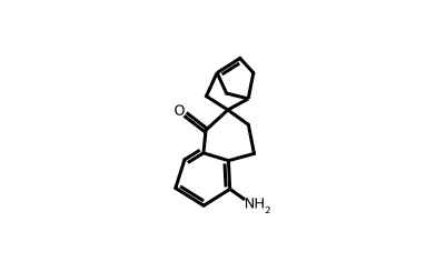 Nc1cccc2c1CCC1(CC3=CCC1C3)C2=O